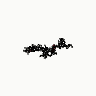 CCN[C@H]1CO[C@@H](O[C@H]2[C@H](O[C@H]3C#CC=CC#C[C@]4(O)CC(=O)C(NC(=O)OC)=C3/C4=C\CSSC(C)(C)CCNC(=O)[C@H](CCCNC(N)=O)NC(=O)[C@@H](NC(C)=O)C(C)C)O[C@H](C)[C@@H](NO[C@H]3C[C@H](O)[C@H]([SH]=C(O)c4c(C)c(I)c(O[C@@H]5O[C@@H](C)[C@H](O)[C@@H](OC)[C@H]5O)c(OC)c4OC)[C@@H](C)O3)[C@@H]2O)C[C@@H]1OC